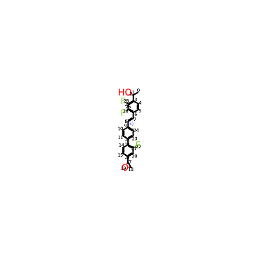 CC(O)c1ccc(/C=C/c2ccc(-c3ccc(C4CO4)cc3F)cc2)c(F)c1F